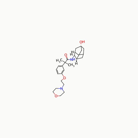 CC(C)(C(=O)N[C@H]1[C@@H]2CC3C[C@H]1C[C@](O)(C3)C2)c1cccc(OCCN2CCOCC2)c1